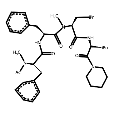 CC[C@H](C)[C@H](NC(=O)[C@H](CC(C)C)N(C)C(=O)[C@H](Cc1ccccc1)NC(=O)[C@H](Cc1ccccc1)N(C)C(C)=O)C(=O)N1CCCCC1